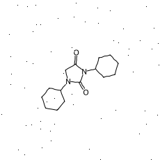 O=C1CN(C2CCCCC2)C(=O)N1C1CCCCC1